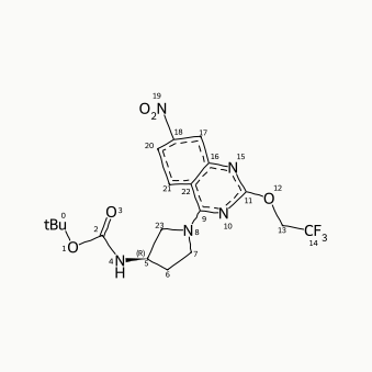 CC(C)(C)OC(=O)N[C@@H]1CCN(c2nc(OCC(F)(F)F)nc3cc([N+](=O)[O-])ccc23)C1